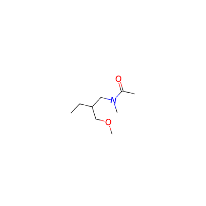 CCC(COC)CN(C)C(C)=O